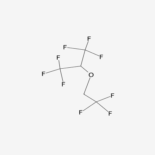 FC(F)(F)COC(C(F)(F)F)C(F)(F)F